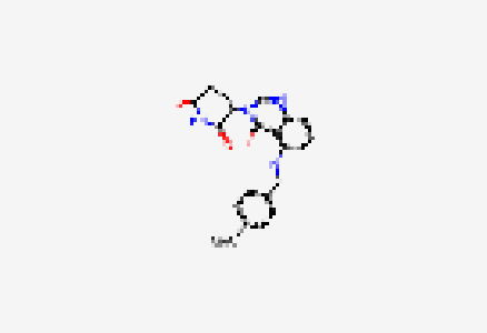 COc1ccc(CNc2cccc3ncn(C4CCC(=O)NC4=O)c(=O)c23)cc1